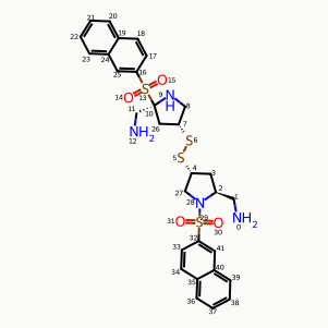 NC[C@@H]1C[C@@H](SS[C@H]2CN[C@](CN)(S(=O)(=O)c3ccc4ccccc4c3)C2)CN1S(=O)(=O)c1ccc2ccccc2c1